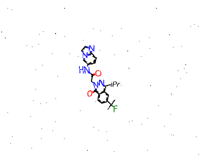 CC(C)c1nn(CC(=O)Nc2ccc3nccn3c2)c(=O)c2ccc(C(C)(C)F)cc12